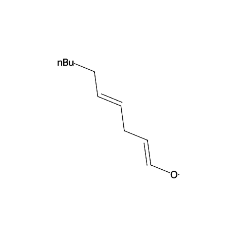 CCCCCC=CCC=C[O]